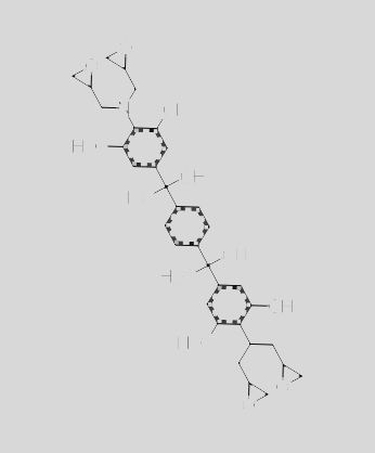 Cc1cc(C(C)(C)c2ccc(C(C)(C)c3cc(C)c(N(CC4CO4)CC4CO4)c(C)c3)cc2)cc(C)c1C(CC1CO1)CC1CO1